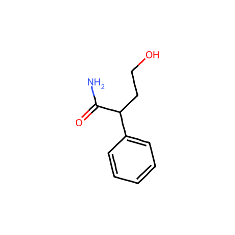 NC(=O)C(CCO)c1ccccc1